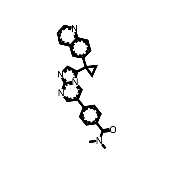 CN(C)C(=O)c1ccc(-c2cnc3ncc(C4(c5ccc6ncccc6c5)CC4)n3c2)cc1